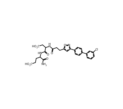 NC(=O)C(CCC(=O)O)NC(=O)C(CC(=O)O)NC(=O)CCc1cc(-c2ccc(-c3cccc(Cl)c3)cc2)no1